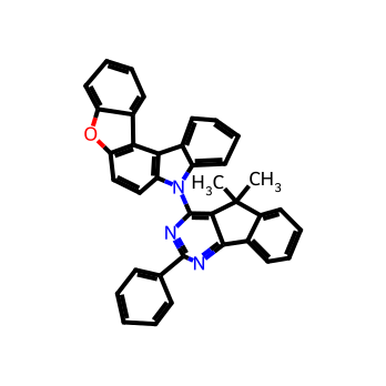 CC1(C)c2ccccc2-c2nc(-c3ccccc3)nc(-n3c4ccccc4c4c5c(ccc43)oc3ccccc35)c21